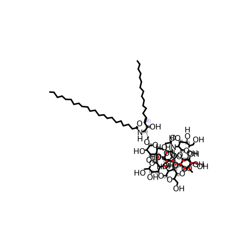 CCCCCCCCCCCCC/C=C/[C@@H](O)[C@H](CO[C@@H]1OC(CO)[C@@H](O[C@@H]2OC(CO)[C@H](O)[C@H](O[C@@H]3OC(CO)[C@@H](O[C@@H]4OC(CO)[C@H](O)[C@H](O[C@H]5OC(CO)[C@H](O)[C@H](O)C5NC(C)=O)C4O[C@H]4OC(C)[C@@H](O)C(O)[C@@H]4O)[C@H](O[C@H]4OC(C)[C@@H](O)C(O)[C@@H]4O)C3NC(C)=O)C2O)[C@H](O)C1O)NC(=O)CCCCCCCCCCCCCCCCCCCCC